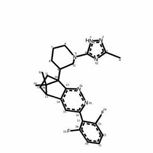 Cc1n[nH]c(N2CCCC(C34CCC(c5cc(-c6c(F)cccc6F)nnc53)C4(C)C)C2)n1